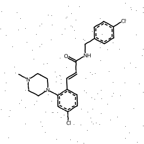 CN1CCN(c2cc(Cl)ccc2C=CC(=O)NCc2ccc(Cl)cc2)CC1